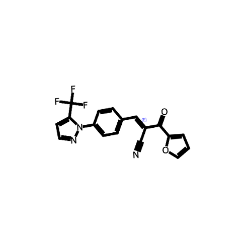 N#C/C(=C\c1ccc(-n2nccc2C(F)(F)F)cc1)C(=O)c1ccco1